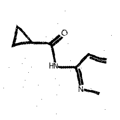 C=C/C(=N\C)NC(=O)C1CC1